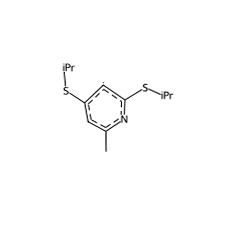 Cc1cc(SC(C)C)[c]c(SC(C)C)n1